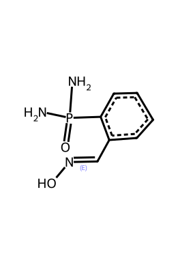 NP(N)(=O)c1ccccc1/C=N/O